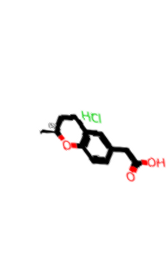 C[C@H]1CCc2cc(CC(=O)O)ccc2O1.Cl